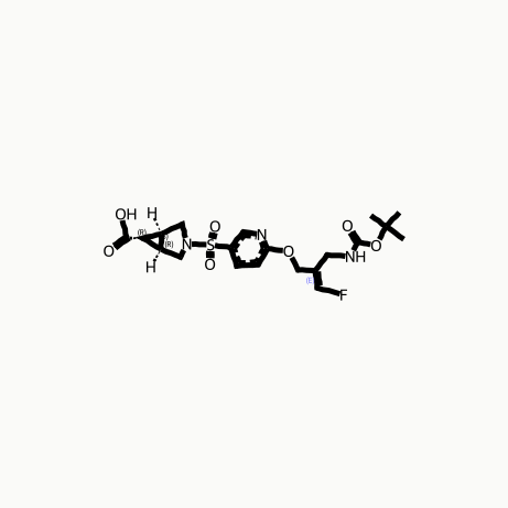 CC(C)(C)OC(=O)NC/C(=C\F)COc1ccc(S(=O)(=O)N2C[C@@H]3[C@H](C2)[C@H]3C(=O)O)cn1